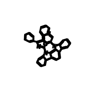 c1ccc(-c2nc(-n3c4ccccc4c4ccc5c6ccccc6n(-c6cccnc6)c5c43)oc2-c2ccccc2)cc1